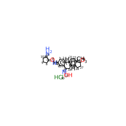 C[C@]12CCC(=NO[C@@H]3CCC[C@@H]3N)CC1/C(=N/O)C[C@@H]1[C@@H]2CC[C@]2(C)C(=O)CC[C@@H]12.Cl